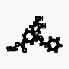 CC(C)(C)OC(=O)N1CC[C@@](CO)(CCO)[C@@H](OCc2ccccc2)C1